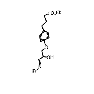 CCOC(=O)CCCc1ccc(OCC(O)C=NC(C)C)cc1